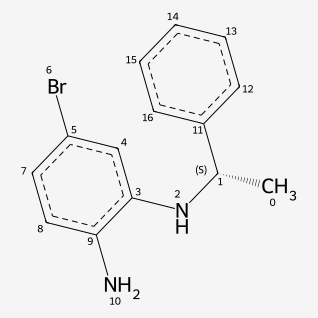 C[C@H](Nc1cc(Br)ccc1N)c1ccccc1